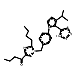 CCCCc1nc(C(=O)CCC)nn1Cc1ccc(-n2ccc(C(C)C)c2-c2nnn[nH]2)cc1